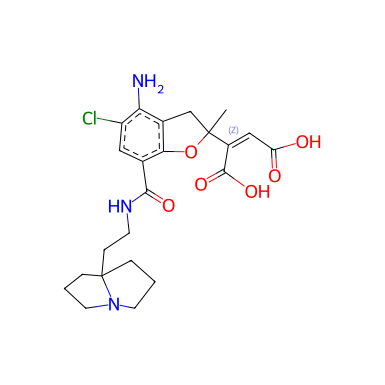 CC1(/C(=C/C(=O)O)C(=O)O)Cc2c(N)c(Cl)cc(C(=O)NCCC34CCCN3CCC4)c2O1